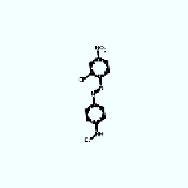 CCNc1ccc(/N=N/c2ccc([N+](=O)[O-])cc2Cl)cc1